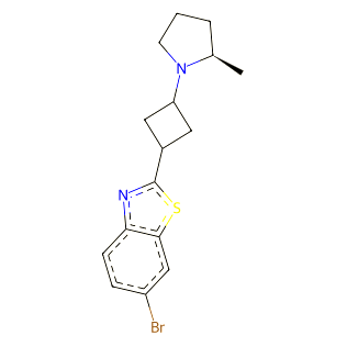 C[C@@H]1CCCN1C1CC(c2nc3ccc(Br)cc3s2)C1